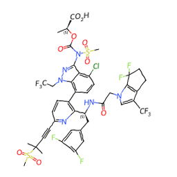 C[C@H](OC(=O)N(c1nn(CC(F)(F)F)c2c(-c3ccc(C#CC(C)(C)S(C)(=O)=O)nc3[C@H](Cc3cc(F)cc(F)c3)NC(=O)Cn3cc(C(F)(F)F)c4c3C(F)(F)CC4)ccc(Cl)c12)S(C)(=O)=O)C(=O)O